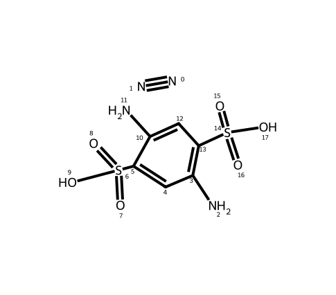 N#N.Nc1cc(S(=O)(=O)O)c(N)cc1S(=O)(=O)O